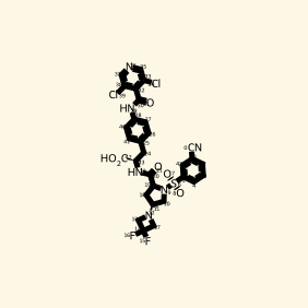 N#Cc1cccc(S(=O)(=O)N2C[C@H](N3CC(F)(F)C3)CC2C(=O)N[C@@H](Cc2ccc(NC(=O)c3c(Cl)cncc3Cl)cc2)C(=O)O)c1